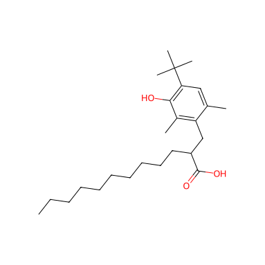 CCCCCCCCCCC(Cc1c(C)cc(C(C)(C)C)c(O)c1C)C(=O)O